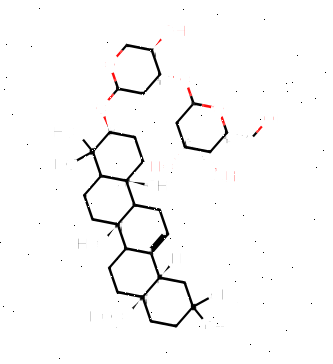 CC1(C)CC[C@]2(C(=O)O)CCC3C(=CCC4[C@@]3(C)CCC3C(C)(C)[C@@H](OC5C[C@@H](OC6C[C@@H](O)[C@@H](O)[C@@H](CO)O6)[C@H](O)CO5)CC[C@@]34C)[C@@H]2C1